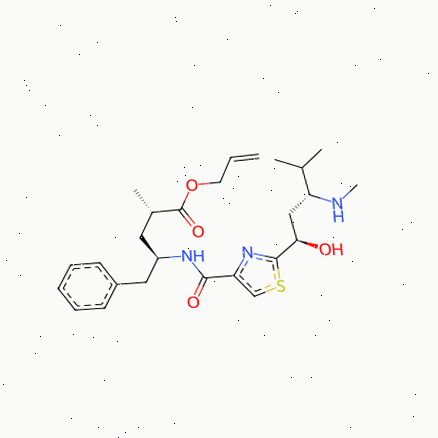 C=CCOC(=O)[C@@H](C)C[C@H](Cc1ccccc1)NC(=O)c1csc([C@H](O)C[C@@H](NC)C(C)C)n1